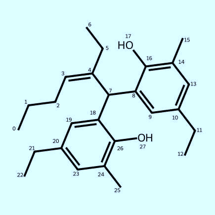 CCC/C=C(/CC)C(c1cc(CC)cc(C)c1O)c1cc(CC)cc(C)c1O